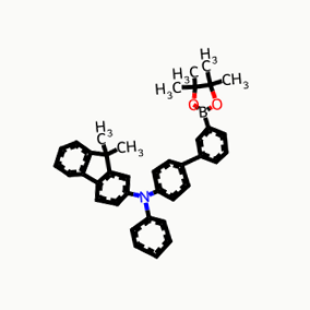 CC1(C)c2ccccc2-c2ccc(N(c3ccccc3)c3ccc(-c4cccc(B5OC(C)(C)C(C)(C)O5)c4)cc3)cc21